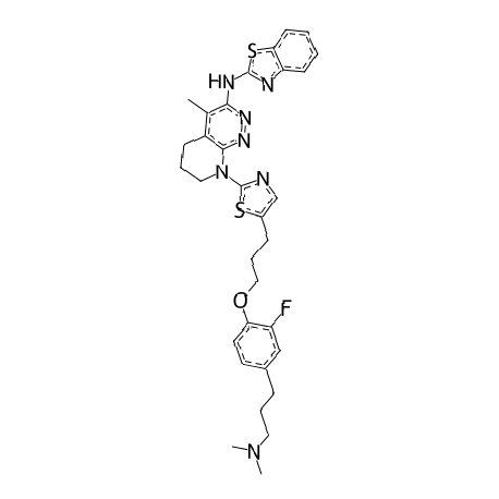 Cc1c(Nc2nc3ccccc3s2)nnc2c1CCCN2c1ncc(CCCOc2ccc(CCCN(C)C)cc2F)s1